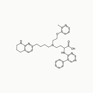 Cc1ncccc1OCCN(CCCCc1ccc2c(n1)NCCC2)CCC(Nc1ncncc1-c1ccccc1)C(=O)O